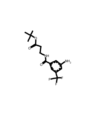 CC(C)(C)OC(=O)CCNC(=O)c1cc(N)cc(C(F)(F)F)c1